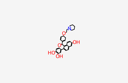 O=C(C1=CCC(OCCN2CCCCC2)C=C1)c1c(-c2ccc(O)c(O)c2)ccc2cc(O)ccc12